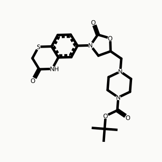 CC(C)(C)OC(=O)N1CCN(CC2CN(c3ccc4c(c3)NC(=O)CS4)C(=O)O2)CC1